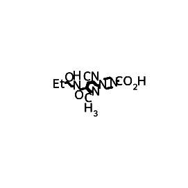 CCC(=O)CNC(=O)c1cc(C#N)c(N2CCN(C(=O)O)CC2)nc1C